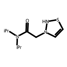 CC(C)N(C(=O)CN1C=CSN1)C(C)C